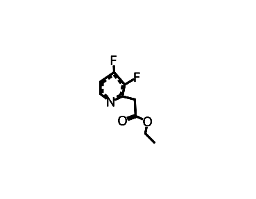 CCOC(=O)Cc1nccc(F)c1F